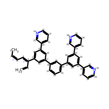 C=C/C(=C\C=C/C)c1cc(-c2cccnc2)cc(-c2cccc(-c3cc(-c4cccnc4)cc(-c4cccnc4)c3)c2)c1